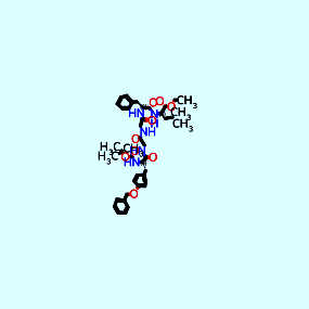 CCOC(=O)[C@H](CC(C)C)NC(=O)[C@H](Cc1ccccc1)NC(=O)CNC(=O)CNC(=O)[C@H](Cc1ccc(OCc2ccccc2)cc1)NC(=O)OC(C)(C)C